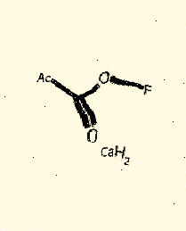 CC(=O)C(=O)OF.[CaH2]